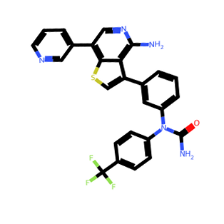 NC(=O)N(c1ccc(C(F)(F)F)cc1)c1cccc(-c2csc3c(-c4cccnc4)cnc(N)c23)c1